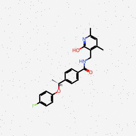 Cc1cc(C)c(CNC(=O)c2ccc([C@@H](C)Oc3ccc(F)cc3)cc2)c(O)n1